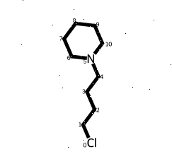 ClCCCCN1CCCCC1